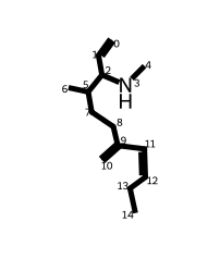 C=CC(NC)C(C)CCC(=C)/C=C\CC